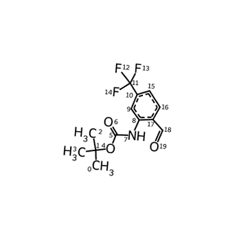 CC(C)(C)OC(=O)Nc1cc(C(F)(F)F)ccc1C=O